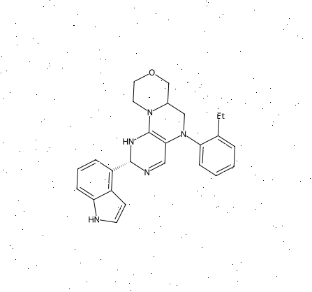 CCc1ccccc1N1CC2COCCN2C2=C1C=N[C@H](c1cccc3[nH]ccc13)N2